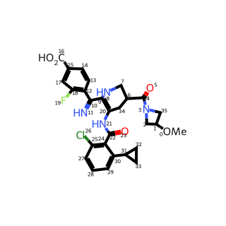 COC1CN(C(=O)C2CNC(C(=N)c3ccc(C(=O)O)cc3F)=C(NC(=O)c3c(Cl)cccc3C3CC3)C2)C1